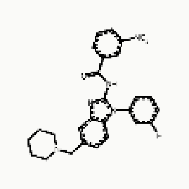 O=C(Nc1nc2cc(CN3CCCCC3)ccc2n1-c1cccc(F)c1)c1cccc([N+](=O)[O-])c1